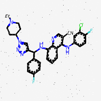 CCN1CCC(n2cc(C(Nc3cccc4c(Nc5ccc(F)c(Cl)c5)c(C#N)cnc34)c3ccc(F)cc3)nn2)CC1